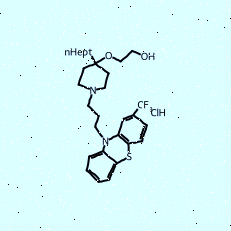 CCCCCCCC1(OCCO)CCN(CCCN2c3ccccc3Sc3ccc(C(F)(F)F)cc32)CC1.Cl